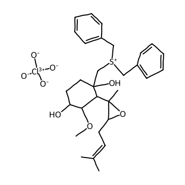 COC1C(O)CCC(O)(C[S+](Cc2ccccc2)Cc2ccccc2)C1C1(C)OC1CC=C(C)C.[O-][Cl+3]([O-])([O-])[O-]